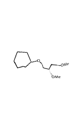 COC[C@@H](COC1CCCCC1)OC